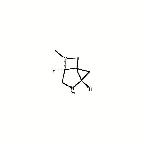 CN1CC23C[C@@H]2NC[C@@H]13